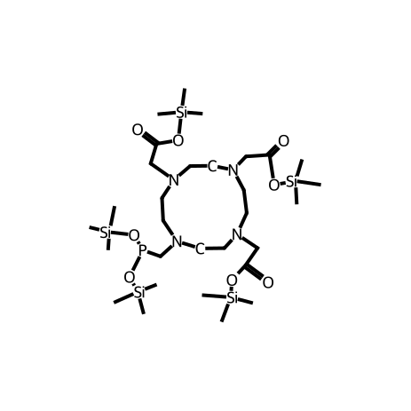 C[Si](C)(C)OC(=O)CN1CCN(CC(=O)O[Si](C)(C)C)CCN(CP(O[Si](C)(C)C)O[Si](C)(C)C)CCN(CC(=O)O[Si](C)(C)C)CC1